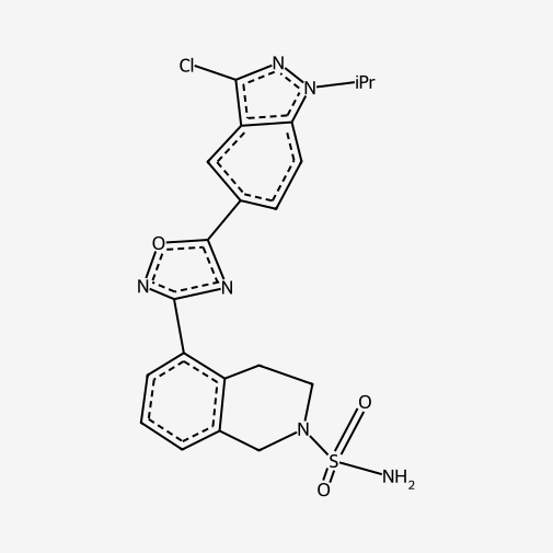 CC(C)n1nc(Cl)c2cc(-c3nc(-c4cccc5c4CCN(S(N)(=O)=O)C5)no3)ccc21